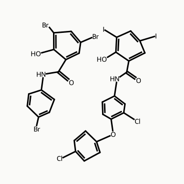 O=C(Nc1ccc(Br)cc1)c1cc(Br)cc(Br)c1O.O=C(Nc1ccc(Oc2ccc(Cl)cc2)c(Cl)c1)c1cc(I)cc(I)c1O